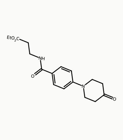 CCOC(=O)CCNC(=O)c1ccc(N2CCC(=O)CC2)cc1